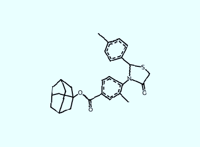 Cc1ccc(C2SCC(=O)N2c2ccc(C(=O)OC34CC5CC(CC(C5)C3)C4)cc2C)cc1